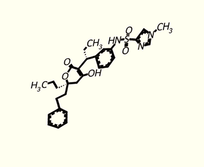 CCC[C@@]1(CCc2ccccc2)CC(O)=C([C@H](CC)c2cccc(NS(=O)(=O)c3cn(C)cn3)c2)C(=O)O1